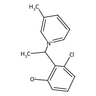 Cc1ccc[n+](C(C)c2c([O-])cccc2Cl)c1